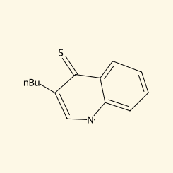 CCCCC1=C[N]c2ccccc2C1=S